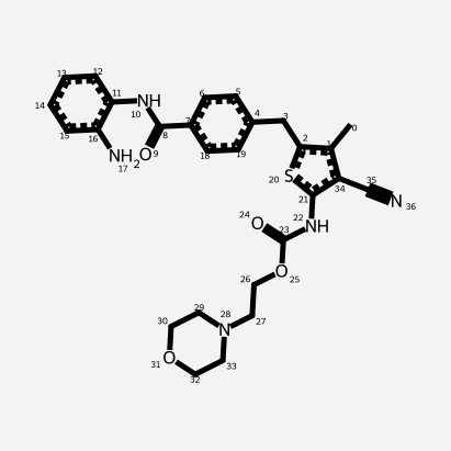 Cc1c(Cc2ccc(C(=O)Nc3ccccc3N)cc2)sc(NC(=O)OCCN2CCOCC2)c1C#N